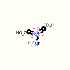 Cc1nccn1CCc1nc(N2C(=O)c3ccc(C(=O)O)cc3C2=O)nc(N2C(=O)c3ccc(C(=O)O)cc3C2=O)n1